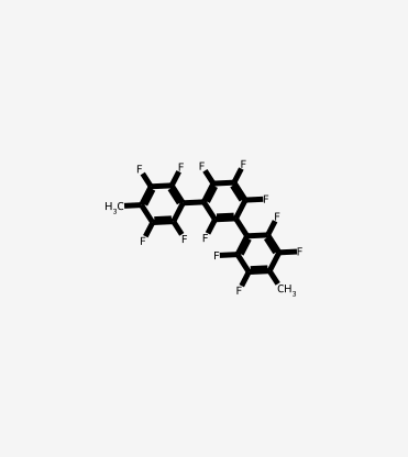 Cc1c(F)c(F)c(-c2c(F)c(F)c(F)c(-c3c(F)c(F)c(C)c(F)c3F)c2F)c(F)c1F